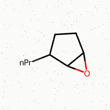 [CH2]CCC1CCC2OC12